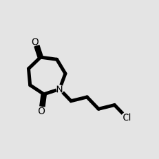 O=C1CCC(=O)N(CCCCCl)CC1